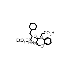 CCOC(=O)[C@H](CCC1CCCCC1)N[C@H]1COc2ccccc2N(CC(=O)O)C1=O